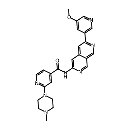 COc1cncc(-c2cc3cc(NC(=O)c4ccnc(N5CCN(C)CC5)c4)ncc3cn2)c1